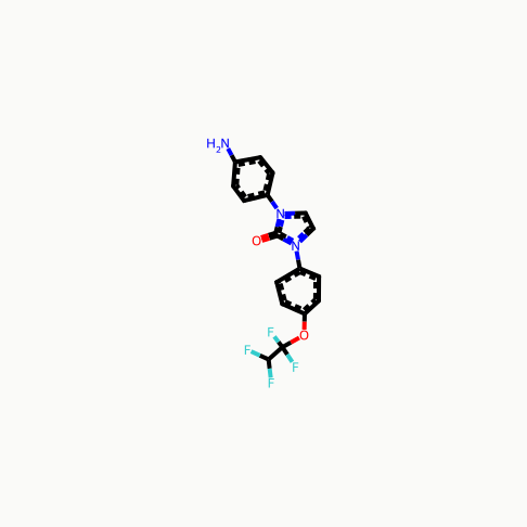 Nc1ccc(-n2ccn(-c3ccc(OC(F)(F)C(F)F)cc3)c2=O)cc1